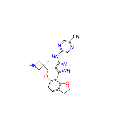 CC1(COc2ccc3c(c2-c2cc(Nc4cnc(C#N)cn4)n[nH]2)OCC3)CNC1